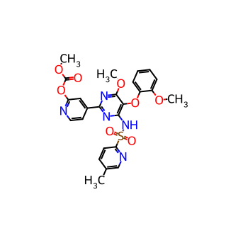 COC(=O)Oc1cc(-c2nc(NS(=O)(=O)c3ccc(C)cn3)c(Oc3ccccc3OC)c(OC)n2)ccn1